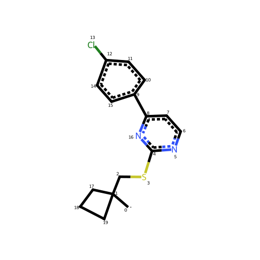 [CH2]C1(CSc2nccc(-c3ccc(Cl)cc3)n2)CCC1